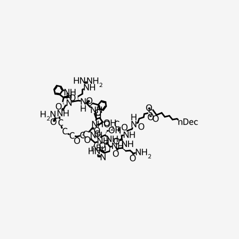 CCCCCCCCCCCCCCCC(=O)CS(=O)(=O)CCCC(=O)NCC(=O)N[C@@H](CCC(=O)O)C(=O)N[C@@H](CCC(N)=O)C(=O)N[C@@H](Cc1c[nH]cn1)C(=O)N[C@@H](CO)C(=O)N[C@@H](CCCC)C(=O)N[C@H]1CCC(=O)CCCCC[C@@H](C(N)=O)NC(=O)[C@H](Cc2c[nH]c3ccccc23)NC(=O)[C@H](CCCNC(=N)N)NC(=O)[C@@H](Cc2ccccc2)NC(=O)[C@@H]2C[C@@H](O)CN2C1=O